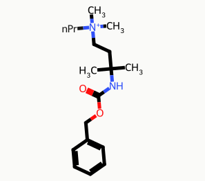 CCC[N+](C)(C)CCC(C)(C)NC(=O)OCc1ccccc1